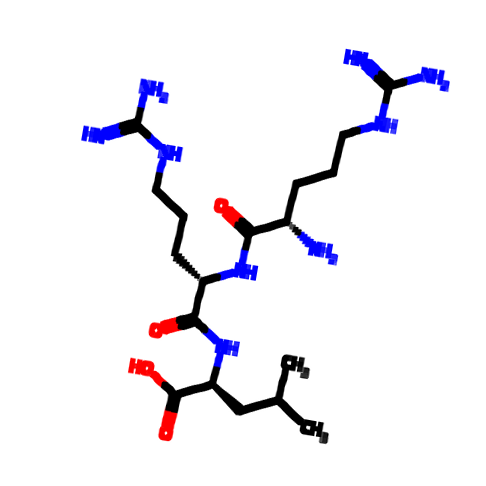 CC(C)C[C@H](NC(=O)[C@H](CCCNC(=N)N)NC(=O)[C@@H](N)CCCNC(=N)N)C(=O)O